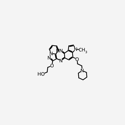 Cn1ccc2c1C(OCCN1CCCCC1)=C/C(=N/c1c(OCCO)nn3ccccc13)C2=N